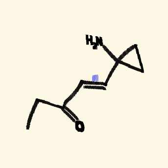 CCC(=O)/C=C/C1(N)CC1